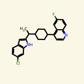 CC(c1cc2ccc(Cl)cc2[nH]1)C1CCC(c2ccnc3ccc(F)cc23)CC1